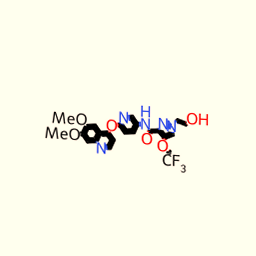 COc1cc2nccc(Oc3ccc(NC(=O)c4nn(CCO)cc4OCC(F)(F)F)cn3)c2cc1OC